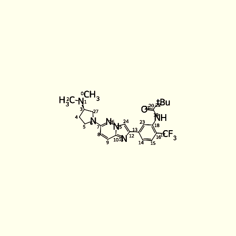 CN(C)[C@@H]1CCN(c2ccc3nc(-c4ccc(C(F)(F)F)c(NC(=O)C(C)(C)C)c4)cn3n2)C1